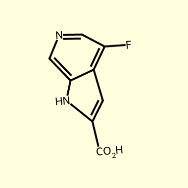 O=C(O)c1cc2c(F)cncc2[nH]1